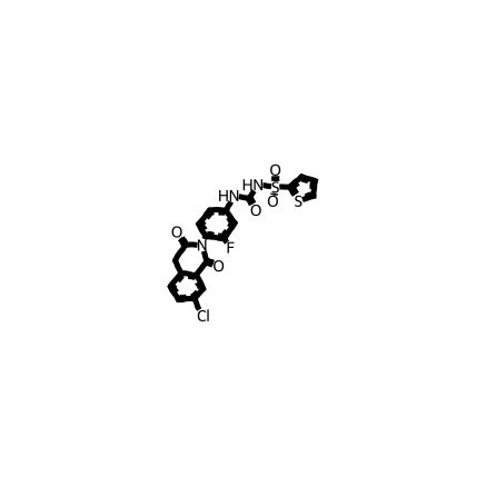 O=C(Nc1ccc(N2C(=O)Cc3ccc(Cl)cc3C2=O)c(F)c1)NS(=O)(=O)c1cccs1